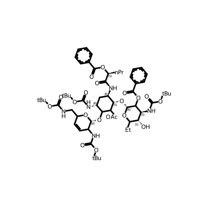 CCC[C@H](OC(=O)c1ccccc1)C(=O)N[C@@H]1C[C@@H](NC(=O)OC(C)(C)C)C(O[C@H]2OC(CNC(=O)OC(C)(C)C)C=CC2NC(=O)OC(C)(C)C)C(OC(C)=O)[C@H]1O[C@H]1OC(CC)[C@@H](O)[C@H](NC(=O)OC(C)(C)C)C1OC(=O)c1ccccc1